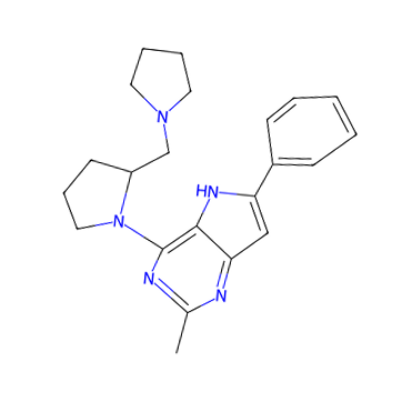 Cc1nc(N2CCCC2CN2CCCC2)c2[nH]c(-c3ccccc3)cc2n1